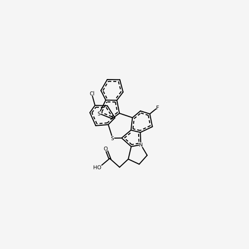 O=C(O)CC1CCn2c1c(Sc1ccc(Cl)cc1)c1c(-c3csc4ccccc34)cc(F)cc12